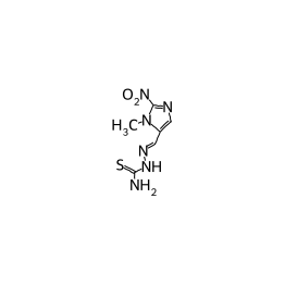 Cn1c(/C=N/NC(N)=S)cnc1[N+](=O)[O-]